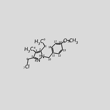 CCc1c(C)c(CCl)nn1Cc1ccc(OC)cc1